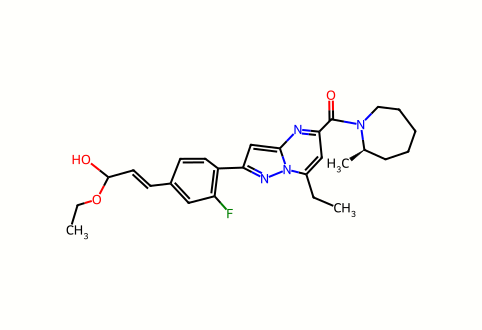 CCOC(O)/C=C/c1ccc(-c2cc3nc(C(=O)N4CCCCC[C@H]4C)cc(CC)n3n2)c(F)c1